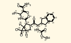 CCCC(NC(=O)[C@@H]1[C@@H]2[C@H](CN1C(=O)[C@@H](NC(=O)OC(C)(C)C)C1Cc3ccccc3C1)C2(Cl)Cl)C(=O)C(N)=O